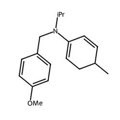 COc1ccc(CN(C2=CCC(C)C=C2)C(C)C)cc1